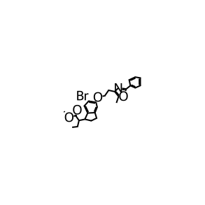 CCC(C(=O)OC)C1CCc2cc(OCCc3nc(-c4ccccc4)oc3C)c(Br)cc21